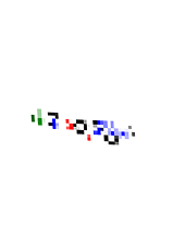 COc1cc(OCc2ccc(C(F)(F)F)cn2)ccc1-c1c[nH]c(-c2cccc(N3CCCC3)n2)n1